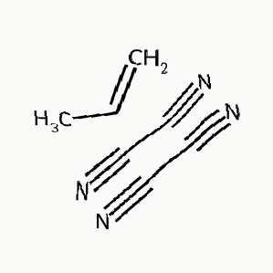 C=CC.N#CC#N.N#CC#N